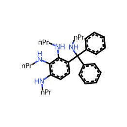 CCCNc1ccc(C(NCCC)(c2ccccc2)c2ccccc2)c(NCCC)c1NCCC